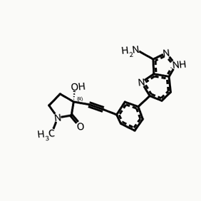 CN1CC[C@@](O)(C#Cc2cccc(-c3ccc4[nH]nc(N)c4n3)c2)C1=O